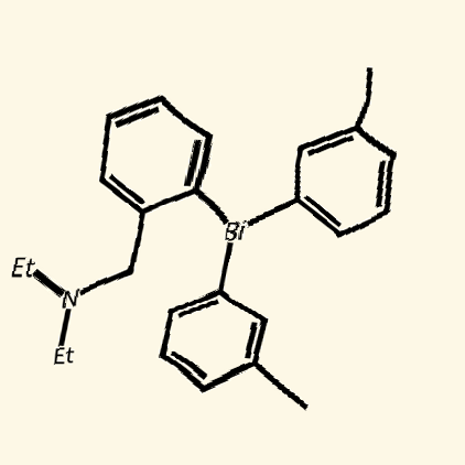 CCN(CC)Cc1cccc[c]1[Bi]([c]1cccc(C)c1)[c]1cccc(C)c1